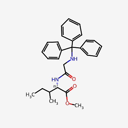 CCC(C)[C@H](NC(=O)CNC(c1ccccc1)(c1ccccc1)c1ccccc1)C(=O)OC